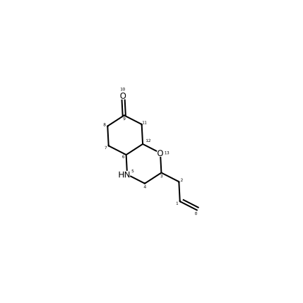 C=CCC1CNC2CCC(=O)CC2O1